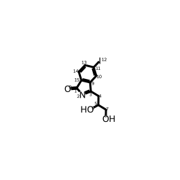 O=C1N=C(CC(O)CO)c2cc(I)ccc21